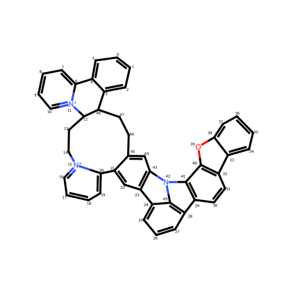 c1ccc2c(c1)-c1cccc[n+]1C1CC[n+]3ccccc3-c3cc4c5cccc6c7ccc8c9ccccc9oc8c7n(c4cc3CCC21)c56